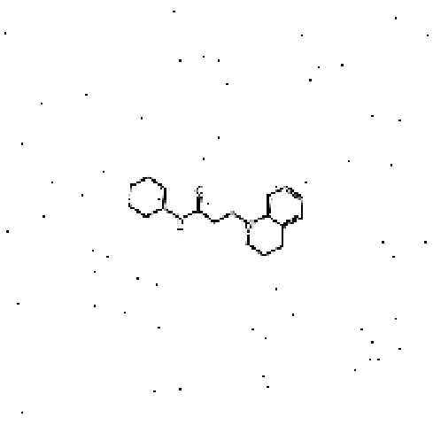 O=C(CCN1CCCc2ccccc21)NC1CCCCC1